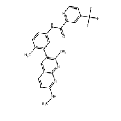 CNc1ncc2cc(-c3cc(NC(=O)c4cc(C(F)(F)F)ccn4)ccc3C)c(C)nc2n1